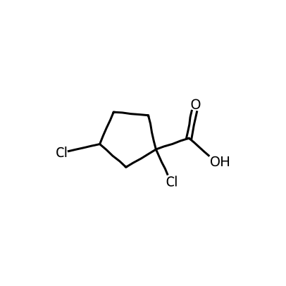 O=C(O)C1(Cl)CCC(Cl)C1